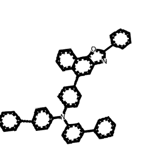 c1ccc(-c2ccc(N(c3ccc(-c4cc5nc(-c6ccccc6)oc5c5ccccc45)cc3)c3cccc(-c4ccccc4)c3)cc2)cc1